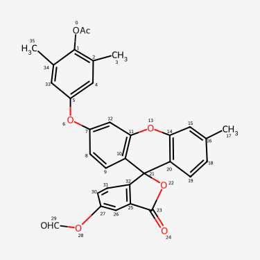 CC(=O)Oc1c(C)cc(Oc2ccc3c(c2)Oc2cc(C)ccc2C32OC(=O)c3cc(OC=O)ccc32)cc1C